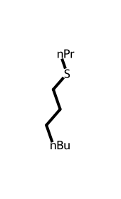 [CH2]CCSCCCCCCC